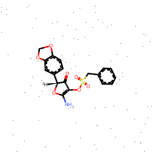 [2H][C@]1(c2ccc3c(c2)OCO3)OC(N)=C(OS(=O)(=O)Cc2ccccc2)C1=O